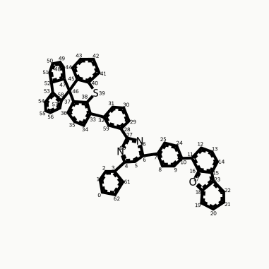 c1ccc(-c2cc(-c3ccc(-c4cccc5c4oc4ccccc45)cc3)nc(-c3cccc(-c4cccc5c4Sc4ccccc4C54c5ccccc5-c5ccccc54)c3)n2)cc1